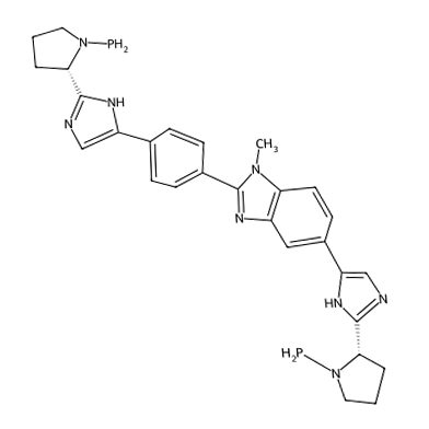 Cn1c(-c2ccc(-c3cnc([C@@H]4CCCN4P)[nH]3)cc2)nc2cc(-c3cnc([C@@H]4CCCN4P)[nH]3)ccc21